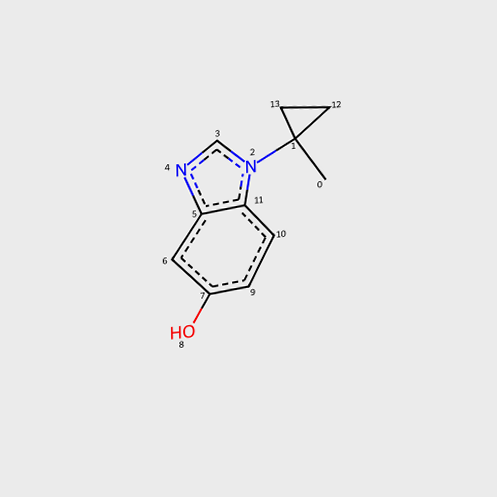 CC1(n2cnc3cc(O)ccc32)CC1